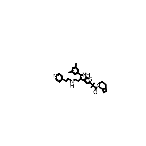 Cc1cc(C)cc(-c2[nH]c3sc(C(C)(C)C(=O)N4CCCC5CCC54)cc3c2CCNCCc2ccncc2)c1